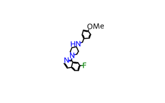 COc1ccc(CNC2CCN(c3nccc4ccc(F)cc34)CC2)cc1